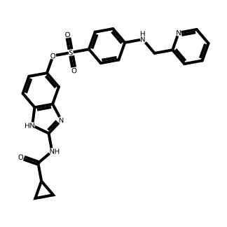 O=C(Nc1nc2cc(OS(=O)(=O)c3ccc(NCc4ccccn4)cc3)ccc2[nH]1)C1CC1